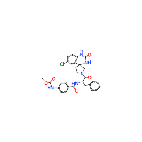 COC(=O)Nc1ccc(C(=O)NC(Cc2ccccc2)C(=O)N2CCC3(C2)NC(=O)Nc2ccc(Cl)cc23)cc1